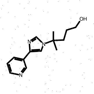 CC(C)(CCCO)n1cnc(-c2cccnc2)c1